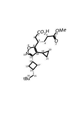 COC(=O)CC[C@@H](CC(=O)O)c1onc([C@H]2C[C@@H](CC(C)(C)C)C2)c1C1CC1